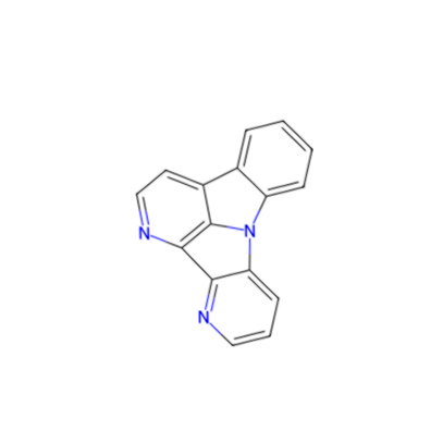 c1ccc2c(c1)c1ccnc3c4ncccc4n2c13